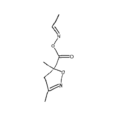 C/C=N/OC(=O)C1(C)CC(C)=NO1